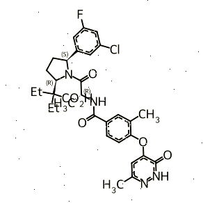 CCC(CC)(C(=O)O)[C@H]1CC[C@@H](c2cc(F)cc(Cl)c2)N1C(=O)[C@@H](C)NC(=O)c1ccc(Oc2cc(C)n[nH]c2=O)c(C)c1